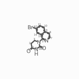 O=C1CCN(c2nccc3ccc(Br)cc23)C(=O)N1